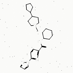 O=C(N[C@@H]1CCCC[C@H]1CN1CCC(C2CCCC2)CC1)c1ccc(-n2cccn2)nc1